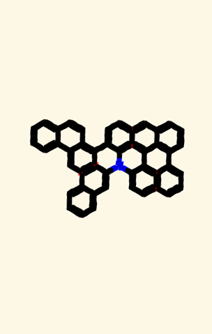 c1ccc(-c2cccc3cccc(-c4ccccc4N(c4ccc5ccccc5c4)c4ccccc4-c4cccc5c4ccc4ccccc45)c23)cc1